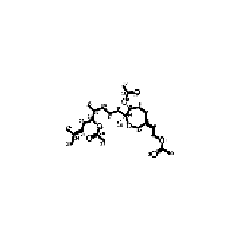 CC(=O)OCC=C1CC[C@@H](OC(C)=O)[C@](C)(CCCC(C)C(CC=C(C)C)OC(C)=O)OC1